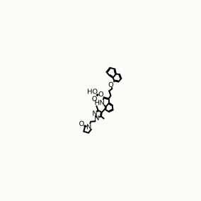 Cc1nn(CCN2CCCC2=O)c(C)c1-c1cccc2c(CCCOc3cccc4ccccc34)c(OC(=O)O)[nH]c12